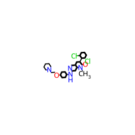 CCn1c(=O)c(-c2c(Cl)cccc2Cl)cc2cnc(Nc3ccc(OCCN4CCCCC4)cc3)cc21